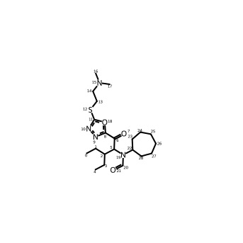 CCC(CC)C(C(=O)c1nnc(SCCN(C)C)o1)N(C=O)C1CCCCCC1